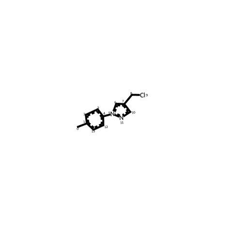 Cc1ccc(-n2cc(CCl)cn2)cc1